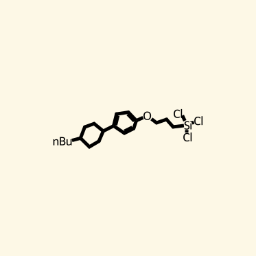 CCCCC1CCC(c2ccc(OCCC[Si](Cl)(Cl)Cl)cc2)CC1